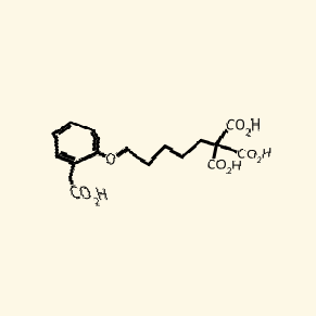 O=C(O)c1ccccc1OCCCCCC(C(=O)O)(C(=O)O)C(=O)O